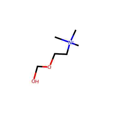 C[N+](C)(C)CCOCO